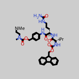 CNCCN(C)C(=O)OCc1ccc(NC(=O)[C@H](CCCNC(N)=O)NC(=O)[C@@H](NC(=O)OCC2c3ccccc3-c3ccccc32)C(C)C)cc1